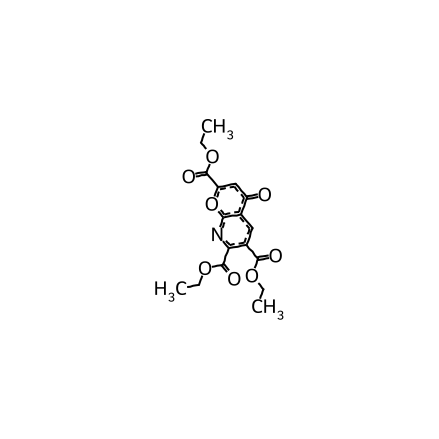 CCOC(=O)c1cc(=O)c2cc(C(=O)OCC)c(C(=O)OCC)nc2o1